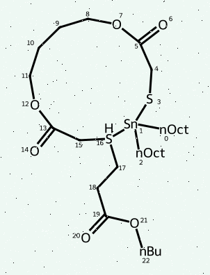 CCCCCCC[CH2][Sn]1([CH2]CCCCCCC)[S]CC(=O)OCCCCOC(=O)C[SH]1CCC(=O)OCCCC